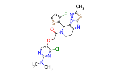 Cc1nn2c3c(nc2s1)CCN(C(=O)COc1cnc(N(C)C)nc1Cl)C3c1sccc1F